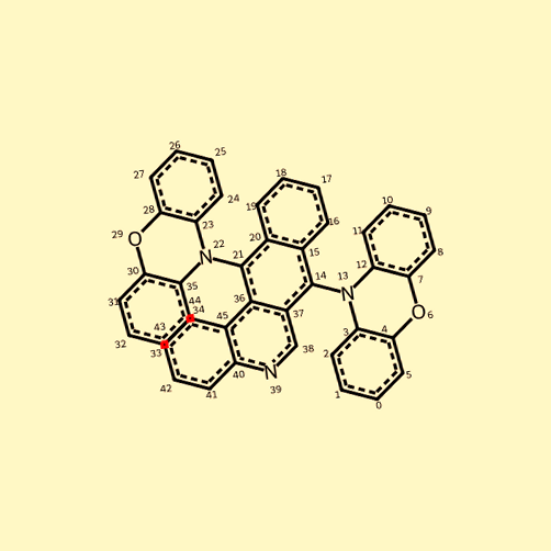 c1ccc2c(c1)Oc1ccccc1N2c1c2ccccc2c(N2c3ccccc3Oc3ccccc32)c2c1cnc1ccccc12